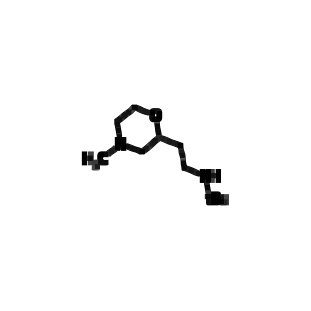 CN1CCOC(CCNC(C)(C)C)C1